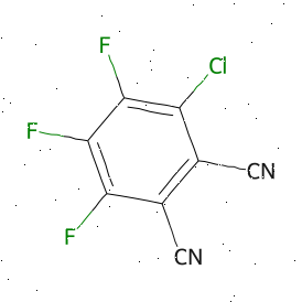 N#Cc1c(F)c(F)c(F)c(Cl)c1C#N